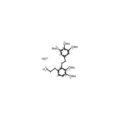 COc1cc(CCc2c(CCN)ccc(OC)c2OC)cc(OC)c1OC.Cl